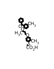 Cc1ccc(O[C@H](C)CCOc2ccc(SCC(=O)O)c(C)c2)c(C(=O)c2ccccc2)c1